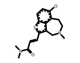 CN1CCc2c(Cl)ccc3sc(/C=C/C(=O)N(C)C)c(c23)C1